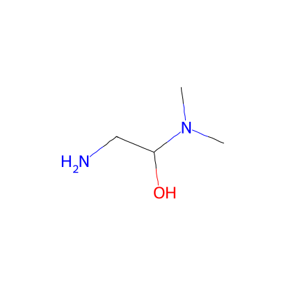 CN(C)C(O)CN